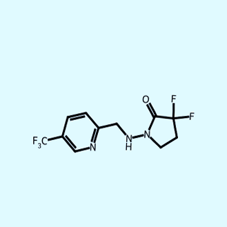 O=C1N(NCc2ccc(C(F)(F)F)cn2)CCC1(F)F